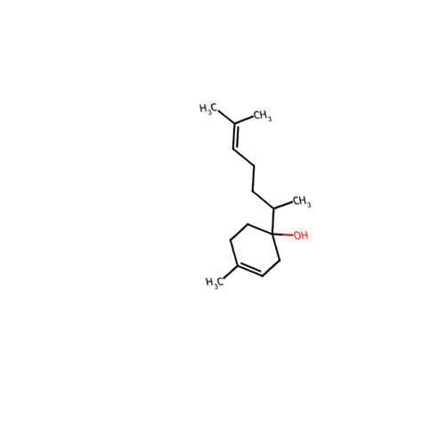 CC(C)=CCCC(C)C1(O)CC=C(C)CC1